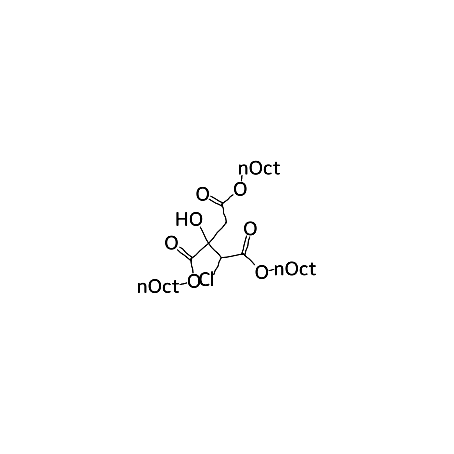 CCCCCCCCOC(=O)CC(O)(C(=O)OCCCCCCCC)C(Cl)C(=O)OCCCCCCCC